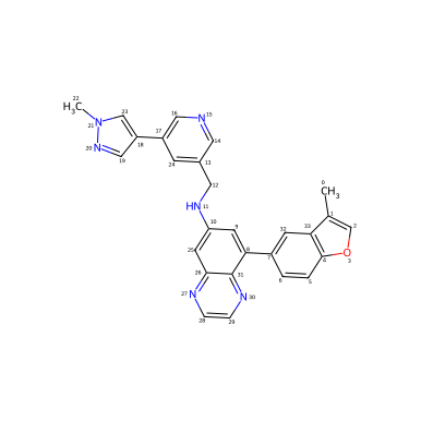 Cc1coc2ccc(-c3cc(NCc4cncc(-c5cnn(C)c5)c4)cc4nccnc34)cc12